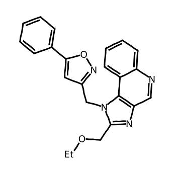 CCOCc1nc2cnc3ccccc3c2n1Cc1cc(-c2ccccc2)on1